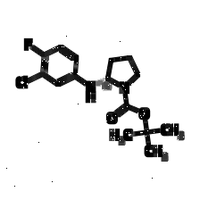 CC(C)(C)OC(=O)N1CCC[C@H]1Nc1ccc(F)c(Cl)c1